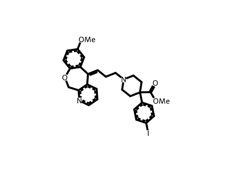 COC(=O)C1(c2ccc(I)cc2)CCN(CCC=C2c3cc(OC)ccc3OCc3ncccc32)CC1